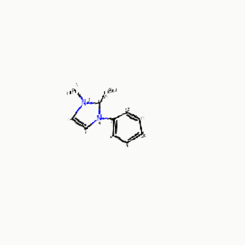 CCCCC1N(CCC)C=CN1c1ccccc1